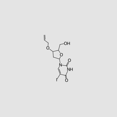 C=CCOC1CC(n2cc(I)c(=O)[nH]c2=O)OC1CO